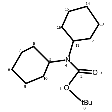 CC(C)(C)OC(=O)N(C1CCCCC1)C1CCCCC1